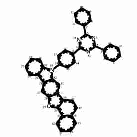 c1ccc(-c2nc(-c3ccccc3)nc(-c3ccc(-n4c5ccccc5c5cc6oc7c8ccccc8ccc7c6cc54)cc3)n2)cc1